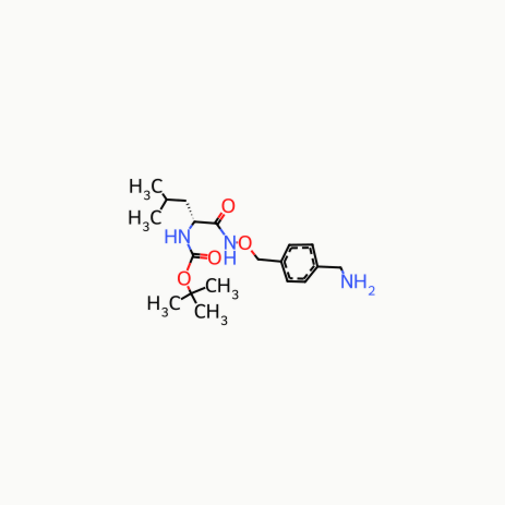 CC(C)C[C@@H](NC(=O)OC(C)(C)C)C(=O)NOCc1ccc(CN)cc1